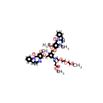 COCCOCCOCCN(CCCC(=O)OC)c1cc(COc2cc3c(cc2OC)C(=O)N2c4ccccc4C[C@H]2C=N3)cc(COc2cc3c(cc2OC)C(=O)N2c4ccccc4C[C@H]2CN3C)c1